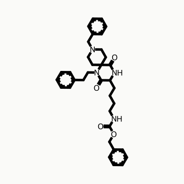 O=C(NCCCCC1NC(=O)C2(CCN(Cc3ccccc3)CC2)N(CCc2ccccc2)C1=O)OCc1ccccc1